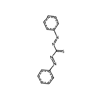 S=C(N=Nc1ccccc1)N=Nc1ccccc1